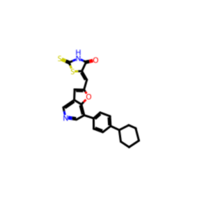 O=C1NC(=S)S/C1=C\c1cc2cncc(-c3ccc(C4CCCCC4)cc3)c2o1